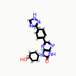 O=c1[nH]c2ncc(-c3ccc(-c4nc[nH]n4)cc3)nc2n1[C@H]1CC[C@H](O)CC1